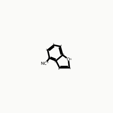 N#Cc1[c]ccc2occc12